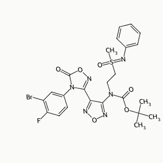 CC(C)(C)OC(=O)N(CCS(C)(=O)=Nc1ccccc1)c1nonc1-c1noc(=O)n1-c1ccc(F)c(Br)c1